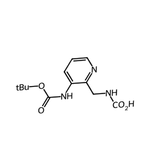 CC(C)(C)OC(=O)Nc1cccnc1CNC(=O)O